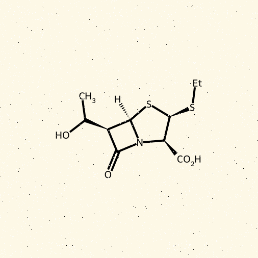 CCS[C@@H]1S[C@@H]2[C@H](C(C)O)C(=O)N2[C@@H]1C(=O)O